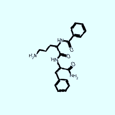 NCCCC(NC(=O)c1ccccc1)C(=O)NC(Cc1ccccc1)C(N)=O